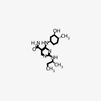 CC[C@H](C)Nc1ncc(C(N)=O)c(N[C@@H]2CC[C@@H](C)[C@H](O)C2)n1